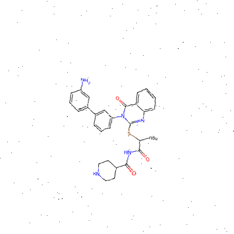 CCCCC(Sc1nc2ccccc2c(=O)n1-c1cccc(-c2cccc(N)c2)c1)C(=O)NC(=O)C1CCNCC1